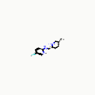 C[C@H]1CC[C@@H](CNc2ccc(F)cn2)NC1